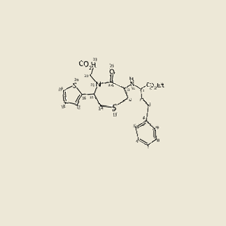 CCOC(=O)C(CCc1ccccc1)NC1CSCC(c2cccs2)N(CC(=O)O)C1=O